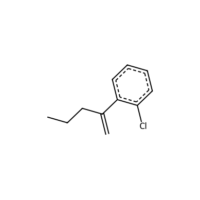 C=C(CCC)c1ccccc1Cl